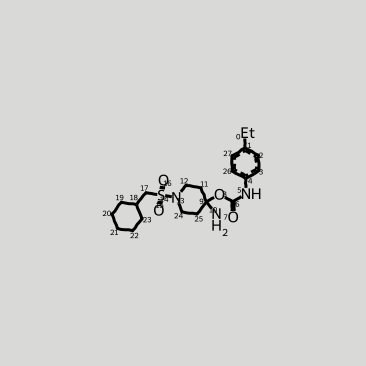 CCc1ccc(NC(=O)OC2(N)CCN(S(=O)(=O)CC3CCCCC3)CC2)cc1